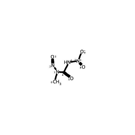 CN(N=O)C(=O)N[N+](=O)[O-]